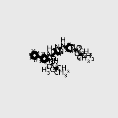 CC(C)(C)OC(=O)Nc1ccc(-c2ccccc2)cc1NC(=O)c1cnc(NC2CCN(C(=O)OC(C)(C)C)CC2)nc1